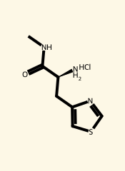 CNC(=O)[C@@H](N)Cc1cscn1.Cl